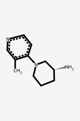 Cc1cnccc1N1CCC[C@@H](N)C1